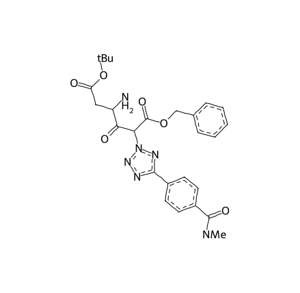 CNC(=O)c1ccc(-c2nnn(C(C(=O)OCc3ccccc3)C(=O)C(N)CC(=O)OC(C)(C)C)n2)cc1